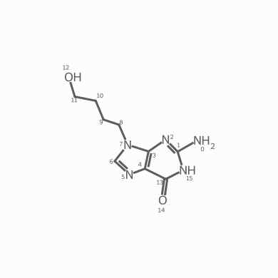 Nc1nc2c(ncn2CCCCO)c(=O)[nH]1